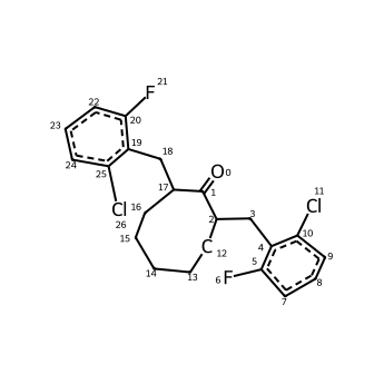 O=C1C(Cc2c(F)cccc2Cl)CCCCCC1Cc1c(F)cccc1Cl